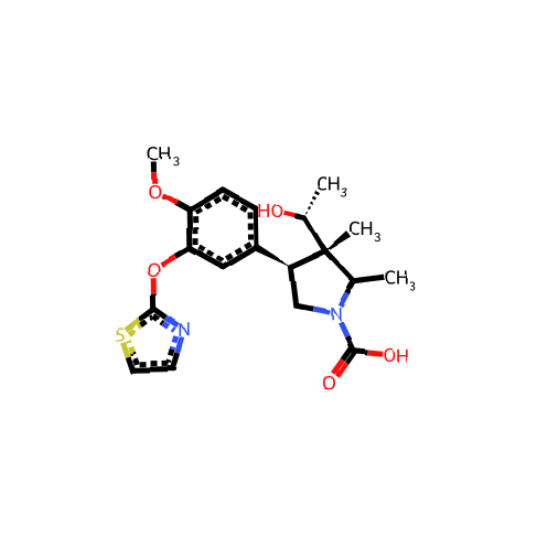 COc1ccc([C@@H]2CN(C(=O)O)C(C)[C@@]2(C)[C@@H](C)O)cc1Oc1nccs1